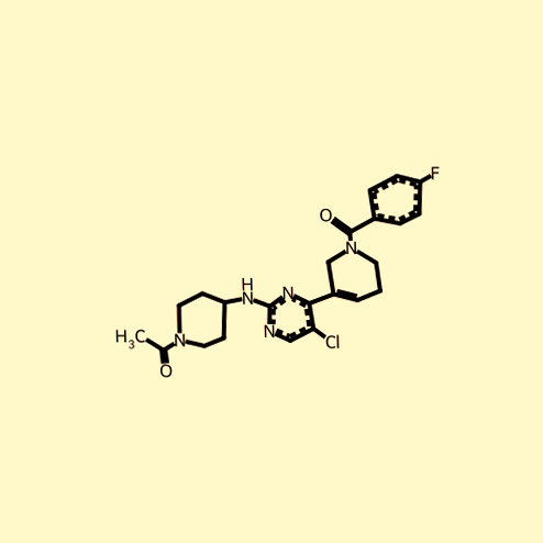 CC(=O)N1CCC(Nc2ncc(Cl)c(C3=CCCN(C(=O)c4ccc(F)cc4)C3)n2)CC1